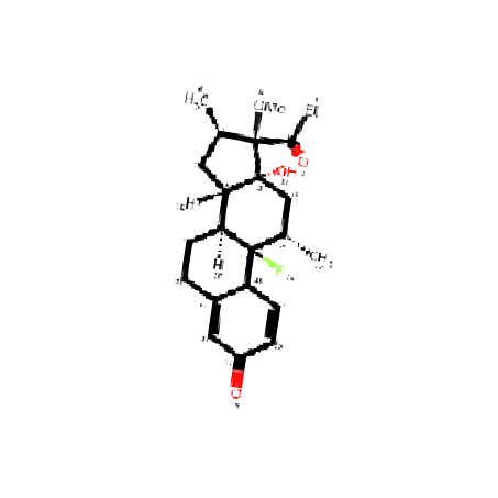 CCC(=O)[C@@]1(OC)[C@H](C)C[C@H]2[C@@H]3CCC4=CC(=O)C=CC4[C@@]3(F)[C@@H](C)C[C@@]21O